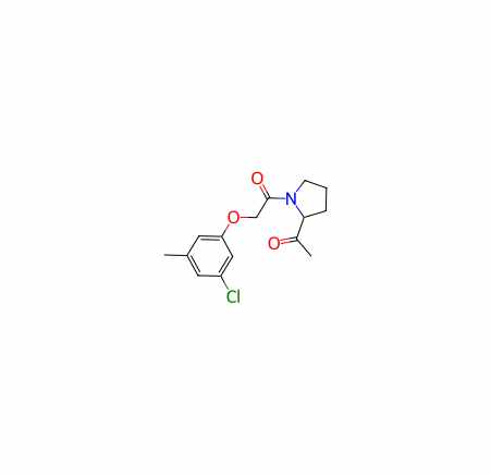 CC(=O)C1CCCN1C(=O)COc1cc(C)cc(Cl)c1